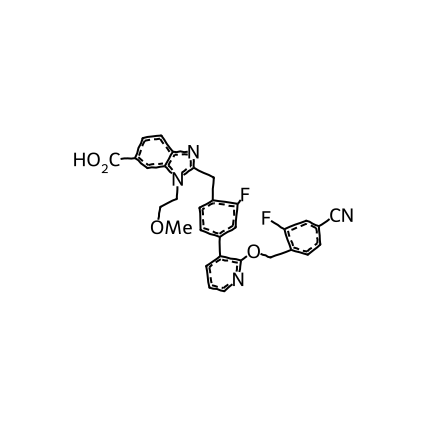 COCCn1c(Cc2ccc(-c3cccnc3OCc3ccc(C#N)cc3F)cc2F)nc2ccc(C(=O)O)cc21